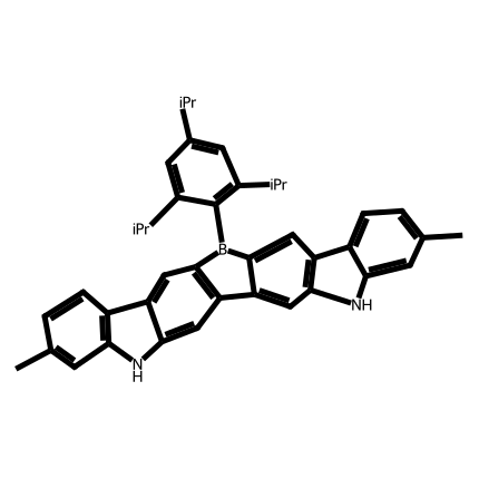 Cc1ccc2c(c1)[nH]c1cc3c(cc12)B(c1c(C(C)C)cc(C(C)C)cc1C(C)C)c1cc2c(cc1-3)[nH]c1cc(C)ccc12